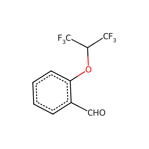 O=Cc1ccccc1OC(C(F)(F)F)C(F)(F)F